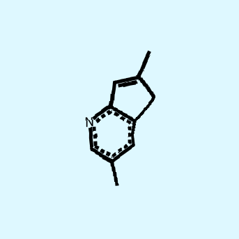 CC1=Cc2ncc(C)cc2C1